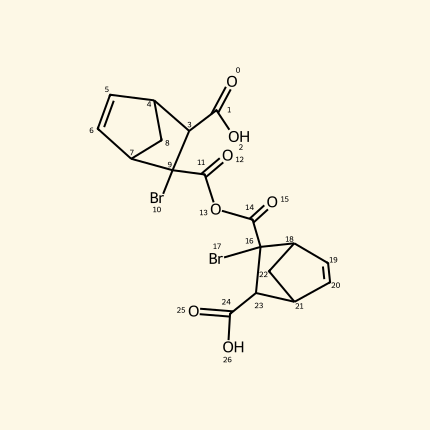 O=C(O)C1C2C=CC(C2)C1(Br)C(=O)OC(=O)C1(Br)C2C=CC(C2)C1C(=O)O